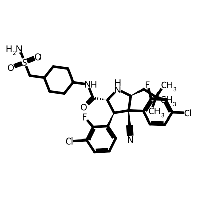 CC(C)(C)C[C@@H]1N[C@@H](C(=O)NC2CCC(CS(N)(=O)=O)CC2)[C@H](c2cccc(Cl)c2F)[C@@]1(C#N)c1ccc(Cl)cc1F